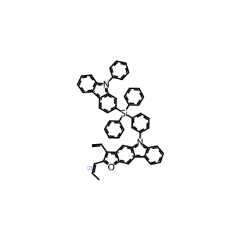 C=Cc1c(/C=C\C)oc2cc3c4ccccc4n(-c4cccc([Si](c5ccccc5)(c5ccccc5)c5ccc6c7ccccc7n(-c7ccccc7)c6c5)c4)c3cc12